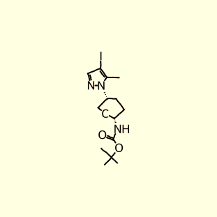 Cc1c(I)cnn1[C@H]1CC[C@@H](NC(=O)OC(C)(C)C)CC1